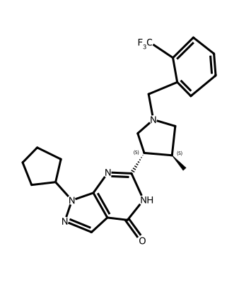 C[C@@H]1CN(Cc2ccccc2C(F)(F)F)C[C@H]1c1nc2c(cnn2C2CCCC2)c(=O)[nH]1